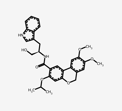 COc1cc2c(cc1OC)-c1cc(C(=O)N[C@@H](CO)Cc3c[nH]c4ccccc34)c(OC(C)C)cc1OC2